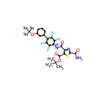 [2H]C([2H])([2H])Oc1cccc(-c2c(F)c(F)c(NC(=O)c3nc(C(N)=O)sc3C(=O)OC(C)(C)C)c(F)c2F)c1